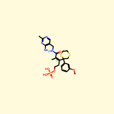 COc1cccc(C2(/C(CCOP(=O)(O)O)=C(/C)C(=O)NCc3cnc(C)nc3N)CSCCS2)c1